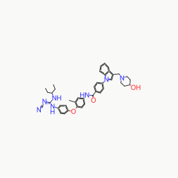 CCC(CC)N/C(=N/C#N)Nc1ccc(Oc2ccc(NC(=O)c3ccc(-n4cc(CN5CCC(O)CC5)c5ccccc54)cc3)cc2C)cc1